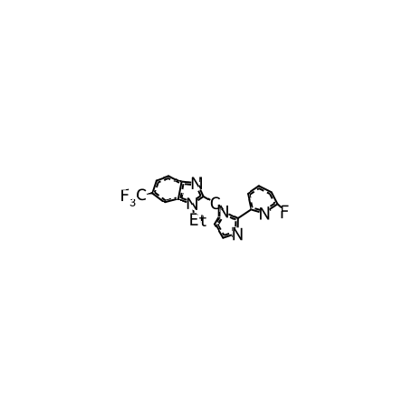 CCn1c(Cn2ccnc2-c2cccc(F)n2)nc2ccc(C(F)(F)F)cc21